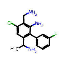 CC(N)c1cc(Cl)c(CN)c(N)c1-c1cccc(F)c1